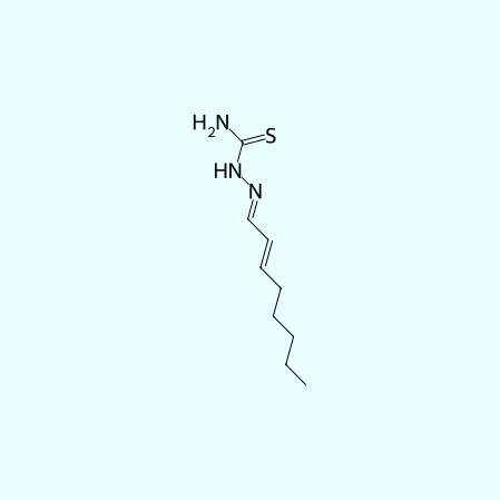 CCCCCC=CC=NNC(N)=S